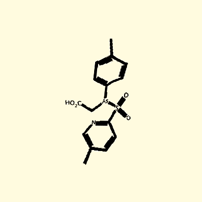 Cc1ccc([As](CC(=O)O)S(=O)(=O)c2ccc(C)cn2)cc1